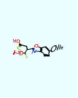 COc1ccc2nc(C(CC(O)=S)C(O)=S)oc2c1